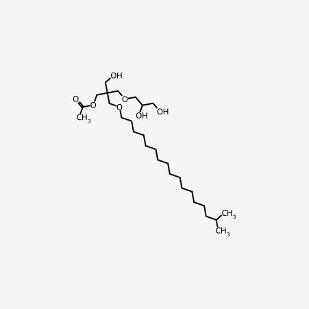 CC(=O)OCC(CO)(COCCCCCCCCCCCCCCCC(C)C)COCC(O)CO